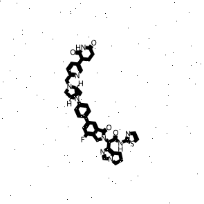 O=C1CCC(c2ccc(CN3C[C@H]4C[C@@H]3CN4c3ccc(-c4cc(F)c5c(c4)C(=O)N(C(C(=O)Nc4nccs4)c4ncn6c4CCC6)C5)cc3)nc2)C(=O)N1